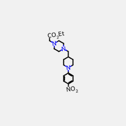 CCOC(=O)CN1CCN(CC2CCN(c3ccc([N+](=O)[O-])cc3)CC2)CC1